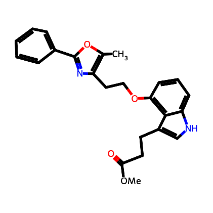 COC(=O)CCc1c[nH]c2cccc(OCCc3nc(-c4ccccc4)oc3C)c12